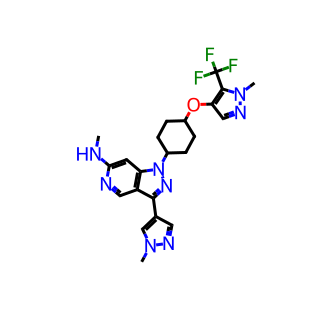 CNc1cc2c(cn1)c(-c1cnn(C)c1)nn2C1CCC(Oc2cnn(C)c2C(F)(F)F)CC1